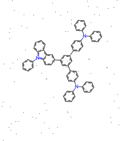 c1ccc(N(c2ccccc2)c2ccc(-c3cc(-c4ccc(N(c5ccccc5)c5ccccc5)cc4)cc(-c4ccc5c(c4)c4ccccc4n5-c4ccccc4)c3)cc2)cc1